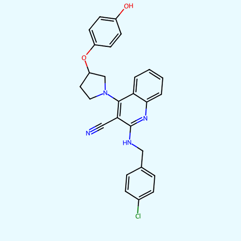 N#Cc1c(NCc2ccc(Cl)cc2)nc2ccccc2c1N1CCC(Oc2ccc(O)cc2)C1